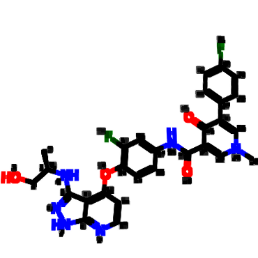 C[C@H](CO)Nc1n[nH]c2nccc(Oc3ccc(NC(=O)c4cn(C)cc(-c5ccc(F)cc5)c4=O)cc3F)c12